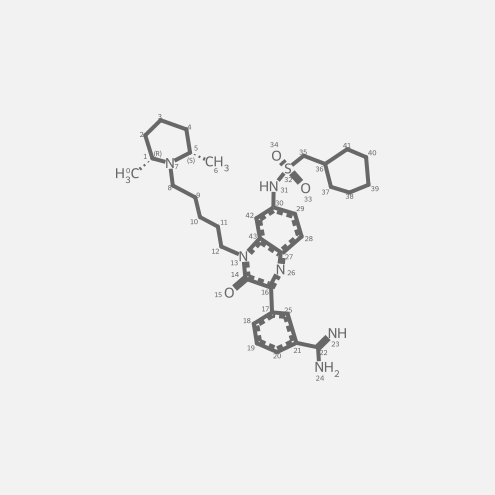 C[C@@H]1CCC[C@H](C)N1CCCCCn1c(=O)c(-c2cccc(C(=N)N)c2)nc2ccc(NS(=O)(=O)CC3CCCCC3)cc21